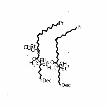 CCC.CCCCCCCCCCCCCCCC(CC)[N+](C)(C)C(=O)CCCCCCC/C=C\CCCCCCCC(C)C.CCCCCCCCCCCCCCCC(CC)[N+](C)(C)C(=O)CCCCCCC/C=C\CCCCCCCC(C)C.[Cl-].[Cl-]